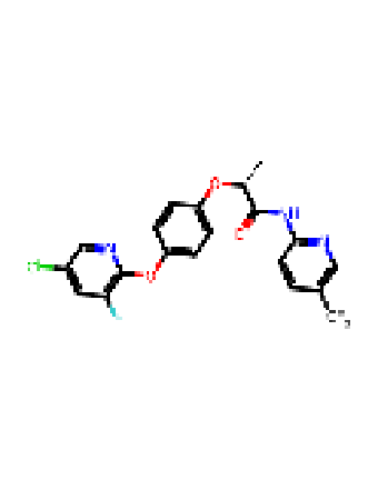 C[C@@H](Oc1ccc(Oc2ncc(Cl)cc2F)cc1)C(=O)Nc1ccc(C(F)(F)F)cn1